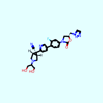 N#C[C@]1(c2ccc(-c3ccc(N4C[C@H](Cn5ccnn5)OC4=O)cc3F)cn2)[C@@H]2CN(C(CO)CO)C[C@@H]21